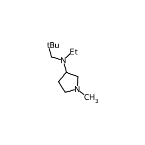 CCN(CC(C)(C)C)C1CCN(C)C1